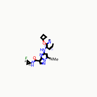 C=N/C(OC1CCC1)=C(\C=C/C)Nc1cc(NC)n2ncc(C(=O)N[C@H]3C[C@H]3F)c2n1